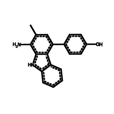 Cc1cc(-c2ccc(O)cc2)c2c([nH]c3ccccc32)c1N